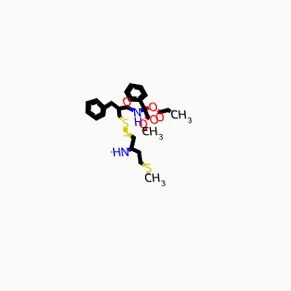 CCC(=O)OC(NC(=O)C(CSSCC([NH])CCSC)Cc1ccccc1)(C(=O)OC)c1ccccc1